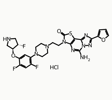 Cl.Nc1nc2c(sc(=O)n2CCN2CCN(c3cc(O[C@H]4CNC[C@@H]4F)c(F)cc3F)CC2)c2nc(-c3ccco3)nn12